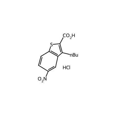 CCCCc1c(C(=O)O)sc2ccc([N+](=O)[O-])cc12.Cl